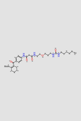 CNC1=C(C(=O)c2ccc(NC(=O)CC(=O)NCCOCCCNC(=O)NCCCCCC(C)=O)cc2)CCCC1